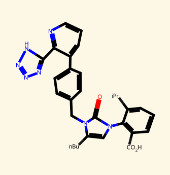 CCCCc1cn(-c2c(C(=O)O)cccc2C(C)C)c(=O)n1Cc1ccc(-c2cccnc2-c2nnn[nH]2)cc1